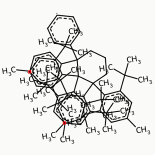 Cc1cc(C(C)(C)C)c(C2(c3c(C(C)(C)C)cc(C)cc3C(C)(C)C)CCCC(c3cc[c]cc3)(c3cc[c]cc3)C2(c2c(C(C)(C)C)cc(C)cc2C(C)(C)C)c2c(C(C)(C)C)cc(C)cc2C(C)(C)C)c(C(C)(C)C)c1